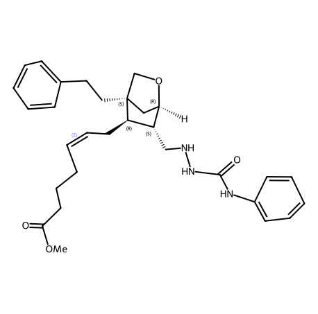 COC(=O)CCC/C=C\C[C@@H]1[C@@H](CNNC(=O)Nc2ccccc2)[C@H]2C[C@]1(CCc1ccccc1)CO2